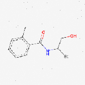 CCC(CO)NC(=O)c1ccccc1C